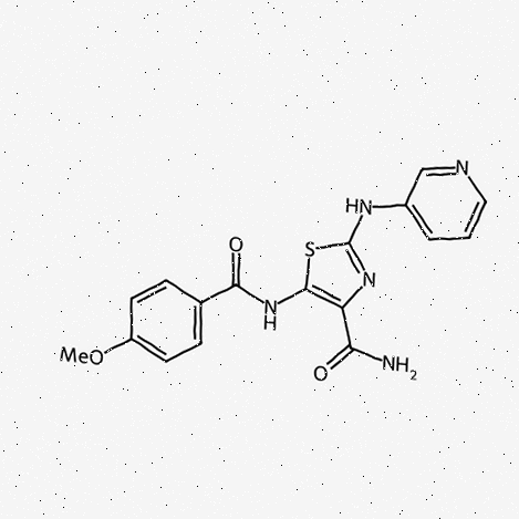 COc1ccc(C(=O)Nc2sc(Nc3cccnc3)nc2C(N)=O)cc1